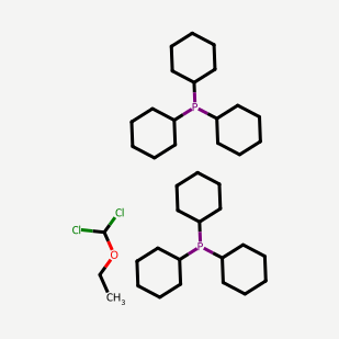 C1CCC(P(C2CCCCC2)C2CCCCC2)CC1.C1CCC(P(C2CCCCC2)C2CCCCC2)CC1.CCOC(Cl)Cl